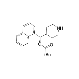 CC(C)(C)C(=O)O[C@@H](c1cccc2ccccc12)C1CCNCC1